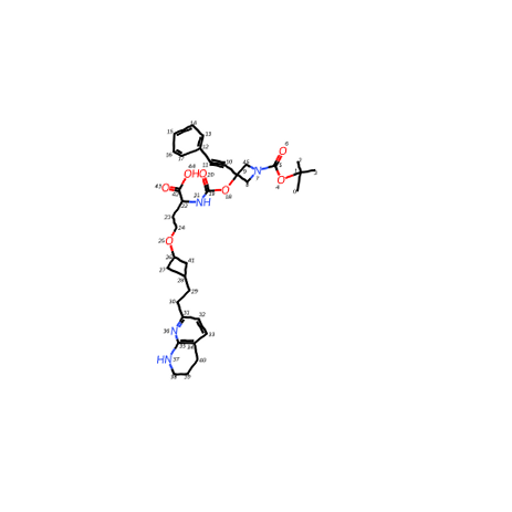 CC(C)(C)OC(=O)N1CC(C#Cc2ccccc2)(OC(=O)NC(CCOC2CC(CCc3ccc4c(n3)NCCC4)C2)C(=O)O)C1